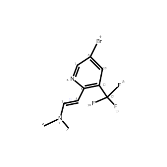 CN(C)/C=C/c1ncc(Br)cc1C(F)(F)F